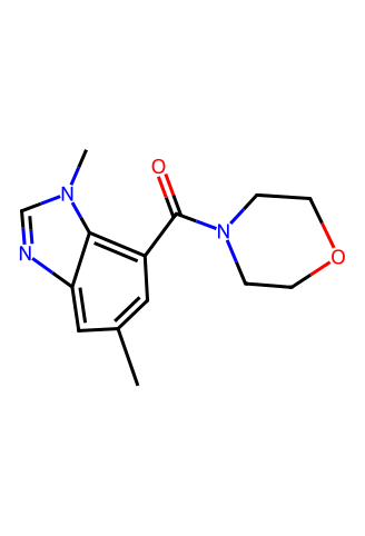 Cc1cc(C(=O)N2CCOCC2)c2c(c1)ncn2C